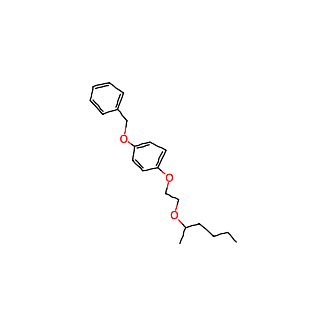 CCCCC(C)OCCOc1ccc(OCc2ccccc2)cc1